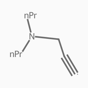 [C]#CCN(CCC)CCC